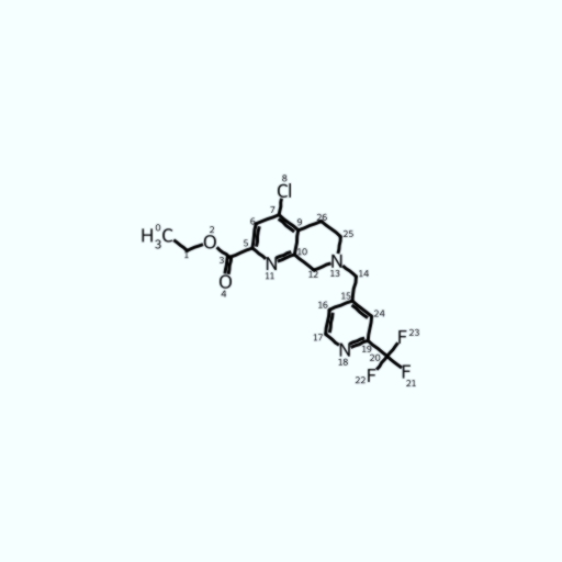 CCOC(=O)c1cc(Cl)c2c(n1)CN(Cc1ccnc(C(F)(F)F)c1)CC2